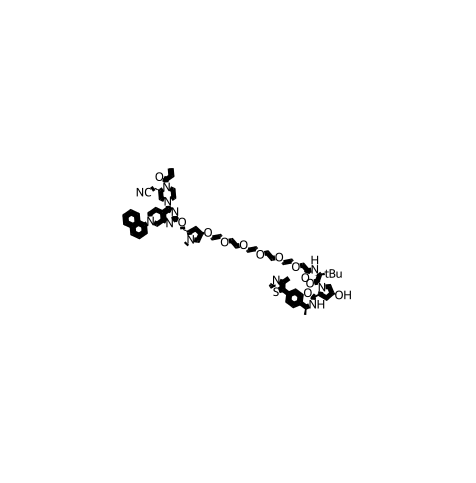 C=CC(=O)N1CCN(c2nc(OC[C@@H]3C[C@@H](OCCOCCOCCOCCOCCOCC(=O)N[C@H](C(=O)N4C[C@H](O)C[C@H]4C(=O)N[C@@H](C)c4ccc(-c5scnc5C)cc4)C(C)(C)C)CN3C)nc3c2CCN(c2cccc4ccccc24)C3)C[C@@H]1CC#N